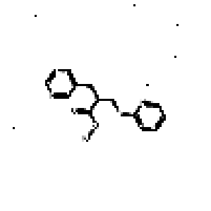 O=C(OO)C(CSc1ncccn1)Cc1cccnc1